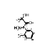 NN(C(=O)C(=O)O)c1ccccc1Br